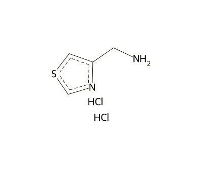 Cl.Cl.NCc1cscn1